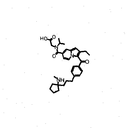 CCc1cc2cc(C(=O)N(CC(=O)O)C(C)C)ccn2c1C(=O)c1ccc(CCCC2(NC)CCCC2)cc1